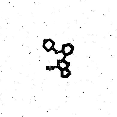 Nc1nc(-c2ccccc2OC2CCOCC2)nc2sccc12